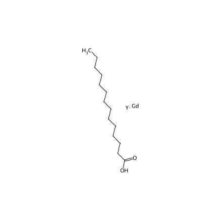 CCCCCCCCCCCCCC(=O)O.[Gd].[Y]